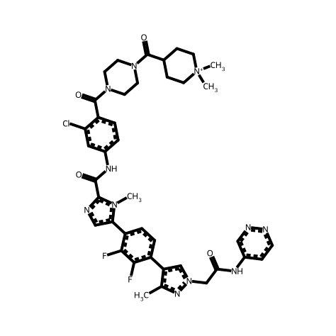 Cc1nn(CC(=O)Nc2ccnnc2)cc1-c1ccc(-c2cnc(C(=O)Nc3ccc(C(=O)N4CCN(C(=O)C5CC[N+](C)(C)CC5)CC4)c(Cl)c3)n2C)c(F)c1F